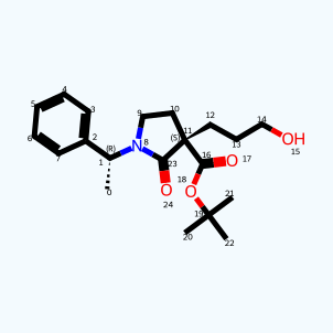 C[C@H](c1ccccc1)N1CC[C@](CCCO)(C(=O)OC(C)(C)C)C1=O